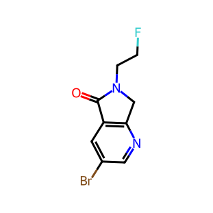 O=C1c2cc(Br)cnc2CN1CCF